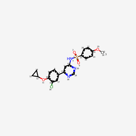 O=S(=O)(Nc1cc(-c2ccc(OC3CC3)c(Cl)c2)ncn1)c1ccc(OC(F)(F)F)cc1